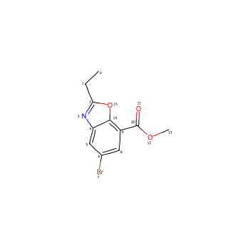 CCc1nc2cc(Br)cc(C(=O)OC)c2o1